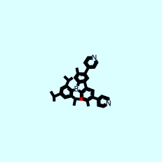 Cc1cc2c(cc1-c1ccncc1)-c1cc(-c3ccncc3)c(C)cc1B2c1c(C(C)C)cc(C(C)C)cc1C(C)C